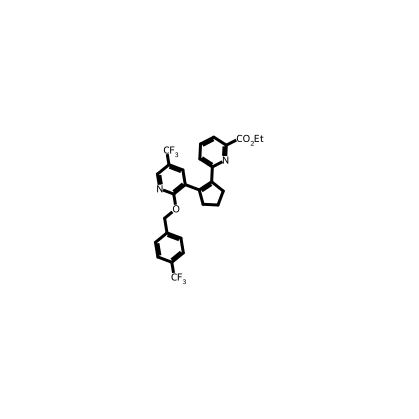 CCOC(=O)c1cccc(C2=C(c3cc(C(F)(F)F)cnc3OCc3ccc(C(F)(F)F)cc3)CCC2)n1